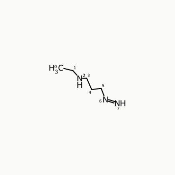 CCNCCCN=N